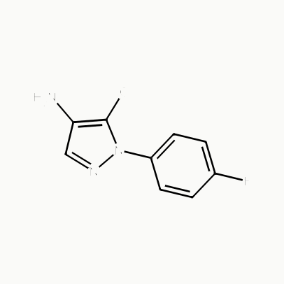 Nc1cnn(-c2ccc(F)cc2)c1Cl